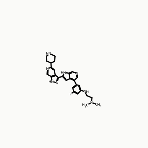 CN(C)CCNc1cc(F)cc(-c2cncc3[nH]c(-c4n[nH]c5cnc(C6CCNCC6)cc45)cc23)c1